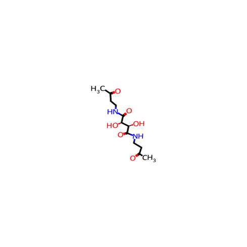 CC(=O)CCNC(=O)[C@H](O)[C@@H](O)C(=O)NCCC(C)=O